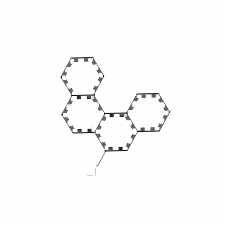 [Li][c]1cc2ccccc2c2c1ccc1ccccc12